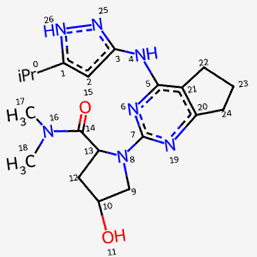 CC(C)c1cc(Nc2nc(N3CC(O)CC3C(=O)N(C)C)nc3c2CCC3)n[nH]1